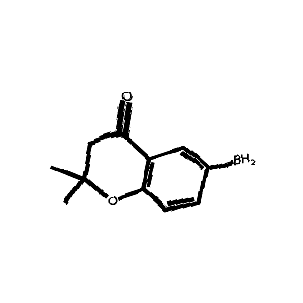 Bc1ccc2c(c1)C(=O)CC(C)(C)O2